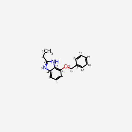 CCc1nc2cccc(OCc3ccccc3)c2[nH]1